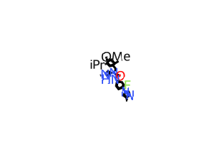 COc1cc(C)c(CN(C(=O)Nc2ccc(-n3cnc(C)c3)c(F)c2)C2CN(C)C2)cc1C(C)C